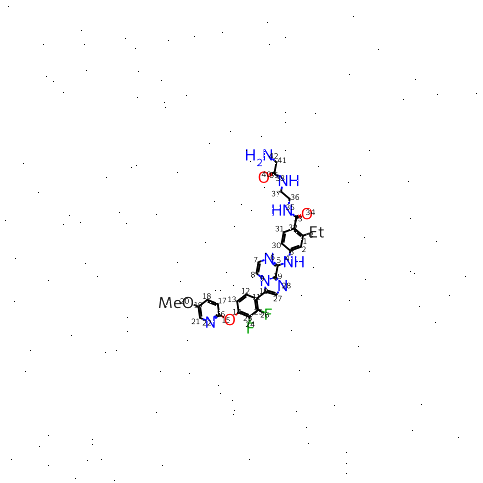 CCc1cc(Nc2nccn3c(-c4ccc(Oc5ccc(OC)cn5)c(F)c4F)cnc23)ccc1C(=O)NCCNC(=O)CN